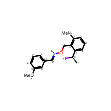 CNc1cccc([C@@H](C)I)c1CON=Cc1cccc(OC)c1